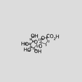 O=C(O)C1CCC(O[C@H]2O[C@H](CO)[C@H](O)[C@H](O)[C@H]2O)CO1